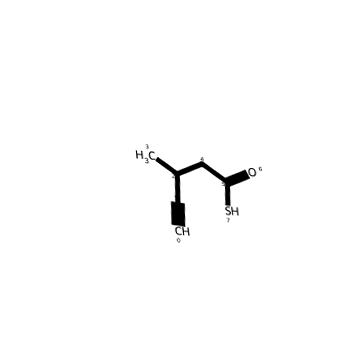 C#CC(C)CC(=O)S